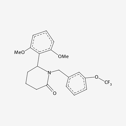 COc1cccc(OC)c1C1CCCC(=O)N1Cc1cccc(OC(F)(F)F)c1